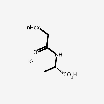 CCCCCCCC(=O)N[C@@H](C)C(=O)O.[K]